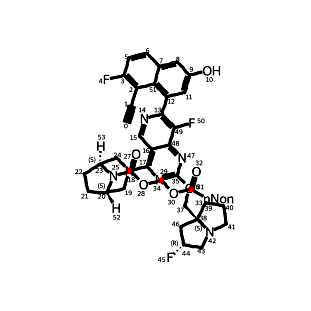 C#Cc1c(F)ccc2cc(O)cc(-c3ncc4c(N5C[C@@H]6CC[C@@H](C5)N6C(=O)OCOC(=O)CCCCCCCCC)nc(OC[C@@]56CCCN5C[C@H](F)C6)nc4c3F)c12